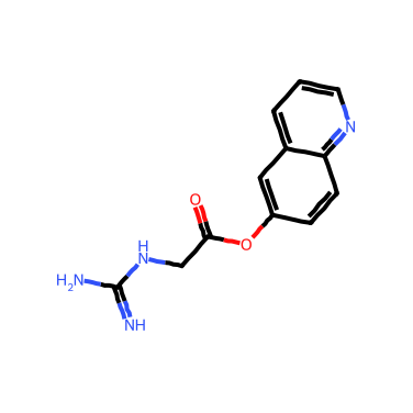 N=C(N)NCC(=O)Oc1ccc2ncccc2c1